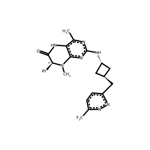 Cc1nc(N[C@H]2C[C@H](Cc3ccc(C(F)(F)F)nn3)C2)nc2c1NC(=O)[C@H](C(C)C)N2C